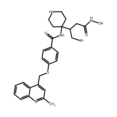 Cc1cc(COc2ccc(C(=O)NC3(C(CC(=O)NO)CC(C)C)CCNCC3)cc2)c2ccccc2n1